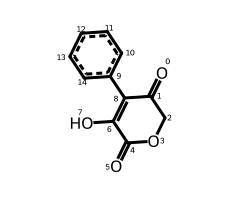 O=C1COC(=O)C(O)=C1c1ccccc1